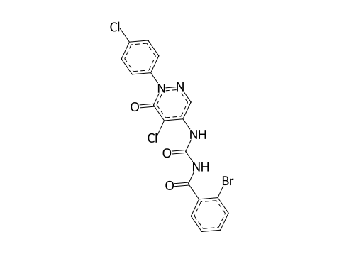 O=C(NC(=O)c1ccccc1Br)Nc1cnn(-c2ccc(Cl)cc2)c(=O)c1Cl